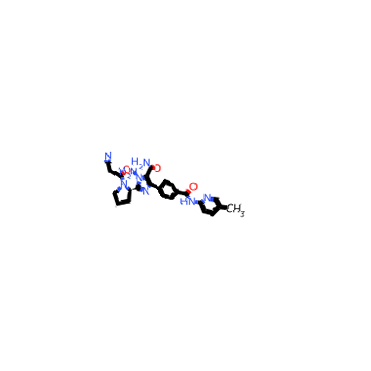 Cc1ccc(NC(=O)c2ccc(-c3nc([C@@H]4CCCN4C(=O)CC#N)n(N)c3C(N)=O)cc2)nc1